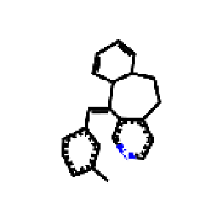 Cc1cccc(/C=C2\c3cnccc3CCC3C=CC=CC23)c1